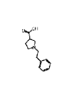 O=C(O)C1CCN(CCc2ccccc2)C1